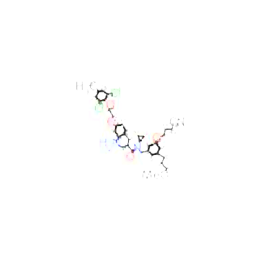 COCCCc1cc(CN(C(=O)C(CN)Cc2ccc(OCCOc3c(Cl)cc(C)cc3Cl)cc2)C2CC2)cc(OCCCC#N)c1